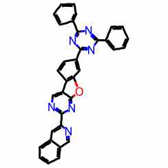 c1ccc(-c2nc(-c3ccccc3)nc(-c3ccc4c(c3)oc3nc(-c5cc6ccccc6cn5)ncc34)n2)cc1